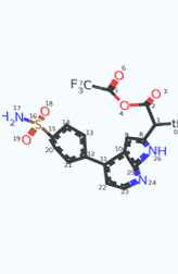 CC(C)(C)C(C(=O)OC(=O)C(F)(F)F)c1cc2c(-c3ccc(S(N)(=O)=O)cc3)ccnc2[nH]1